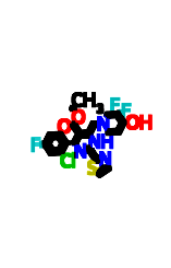 CCOC(=O)C1=C(CN2CC[C@@H](O)C(F)(F)C2)NC(c2nccs2)=N[C@H]1c1ccc(F)cc1Cl